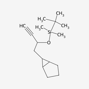 C#CC(CC1C2CCCC21)O[Si](C)(C)C(C)(C)C